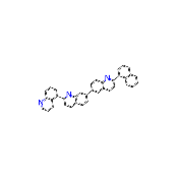 c1ccc2c(-c3ccc4cc(-c5ccc6ccc(-c7cccc8ncccc78)nc6c5)ccc4n3)cccc2c1